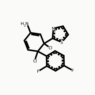 NC1=CC(Cl)(c2nccs2)C(Cl)(c2ccc(F)cc2F)C=C1